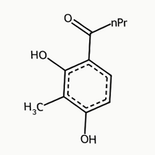 CCCC(=O)c1ccc(O)c(C)c1O